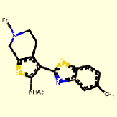 CCN1CCc2c(sc(NC(C)=O)c2-c2nc3cc(C)ccc3s2)C1